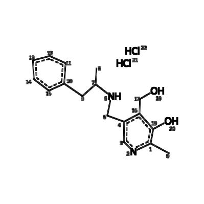 Cc1ncc(CNC(C)Cc2ccccc2)c(CO)c1O.Cl.Cl